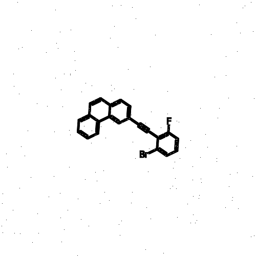 Fc1cccc(Br)c1C#Cc1ccc2ccc3ccccc3c2c1